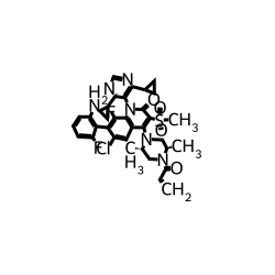 C=CC(=O)N1C[C@H](C)N(c2c(S(C)(=O)=O)c(=O)n(-c3c(C4CC4)ncnc3C3CC3)c3c(F)c(-c4c(N)cccc4F)c(Cl)cc23)C[C@H]1C